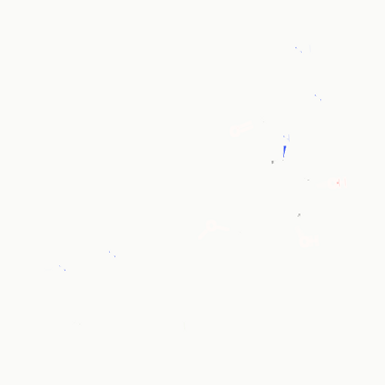 Nc1nc2cc(OCC3=C[C@@H](n4cnc(N)c(F)c4=O)[C@H](O)[C@@H]3O)cc(F)c2cc1Cl